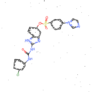 O=C(Nc1cccc(Cl)c1)Nc1nc2cc(OS(=O)(=O)c3ccc(-n4ccnc4)cc3)ccc2[nH]1